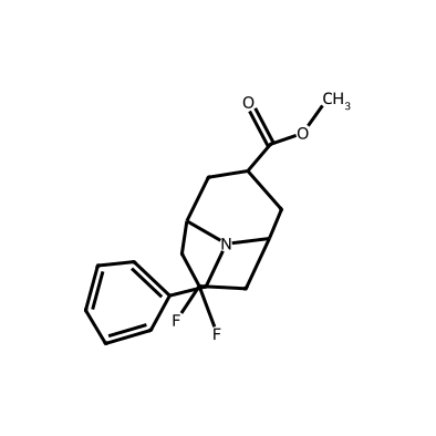 COC(=O)C1CC2CC(F)(F)CC(C1)N2Cc1ccccc1